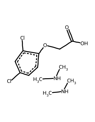 CNC.CNC.O=C(O)COc1ccc(Cl)cc1Cl